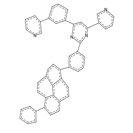 c1ccc(-c2ccc3ccc4c(-c5cccc(-c6nc(-c7cccnc7)cc(-c7cccc(-c8cccnc8)c7)n6)c5)ccc5ccc2c3c54)cc1